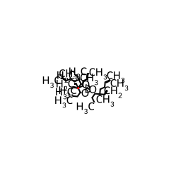 C=CC(C)(CCC=C(C)C)C(CCC)OB(OC(CCC)C(C)(C=C)CCC=C(C)C)OC(CCC)C(C)(C=C)CCC=C(C)C